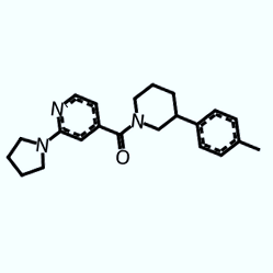 Cc1ccc(C2CCCN(C(=O)c3ccnc(N4CCCC4)c3)C2)cc1